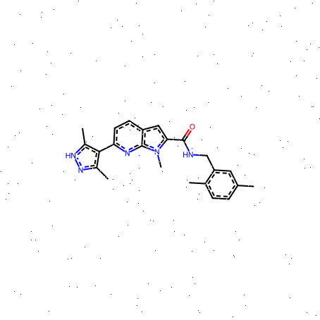 Cc1ccc(C)c(CNC(=O)c2cc3ccc(-c4c(C)n[nH]c4C)nc3n2C)c1